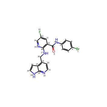 O=C(Nc1ccc(Br)cc1)c1cc(F)cnc1NCc1ccnc2[nH]ccc12